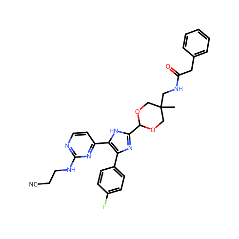 CC1(CNC(=O)Cc2ccccc2)COC(c2nc(-c3ccc(F)cc3)c(-c3ccnc(NCCC#N)n3)[nH]2)OC1